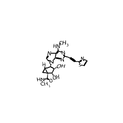 CNC(=O)[C@@]12C[C@@H]1[C@@H](n1cnc3c(NC)nc(C#Cc4nccs4)nc31)[C@@H](O)[C@H]2O